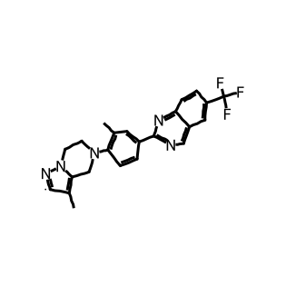 Cc1[c]nn2c1CN(c1ccc(-c3ncc4cc(C(F)(F)F)ccc4n3)cc1C)CC2